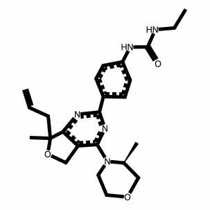 C=CCC1(C)OCc2c(N3CCOC[C@@H]3C)nc(-c3ccc(NC(=O)NCC)cc3)nc21